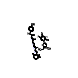 CC1=C(/C=C/C(C)=C/C=C/C(C)=C/C(=O)Nc2ccc(O)cc2)C(C)(C)CCC1.O=c1[nH]c(=O)n([C@H]2C[C@H](O)[C@@H](CO)O2)cc1F